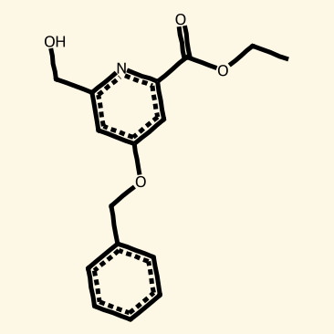 CCOC(=O)c1cc(OCc2ccccc2)cc(CO)n1